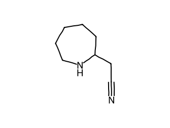 N#CCC1CCCCCN1